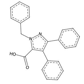 O=C(O)c1c(-c2ccccc2)c(-c2ccccc2)nn1Cc1ccccc1